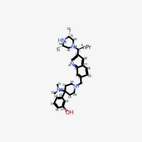 CCC[C@@H](c1cnc2cc(CN3CCC(c4cccc(O)c4)(N(C)C)CC3)ccc2c1)N1C[C@@H](C)N[C@@H](C)C1